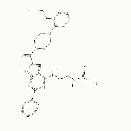 CCOc1ccccc1N1CCN(C(=O)c2cc3c(NCCNC(C)=O)nc(-c4ccccc4)nc3[nH]2)CC1